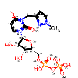 Cn1ccc(Cn2c(=O)ccn([C@@H]3O[C@H](COP(=O)(O)OP(=O)(O)O)[C@H](O)[C@@H]3O)c2=O)n1